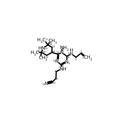 C=CCNC1N=C(NCCC#N)N=C(C2CC(C)(C)NC(C)(C)C2)N1N